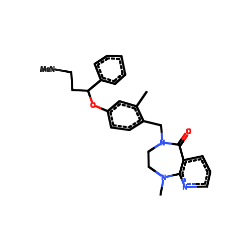 CNCCC(Oc1ccc(CN2CCN(C)c3ncccc3C2=O)c(C)c1)c1ccccc1